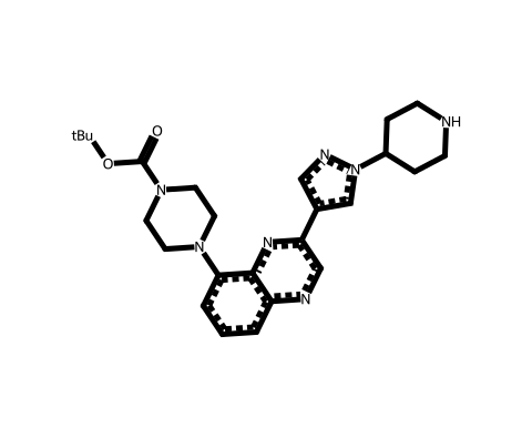 CC(C)(C)OC(=O)N1CCN(c2cccc3ncc(-c4cnn(C5CCNCC5)c4)nc23)CC1